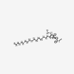 C=CC(=O)ONC(=O)C(=CCCCCCCCCCCCCCCCCC)CCC